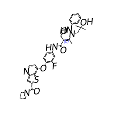 C/C(=C(/C=O)C(=O)Nc1ccc(Oc2ccnc3cc(C(=O)N4CCC4)sc23)c(F)c1)N(CC(C)(C)O)Nc1ccccc1